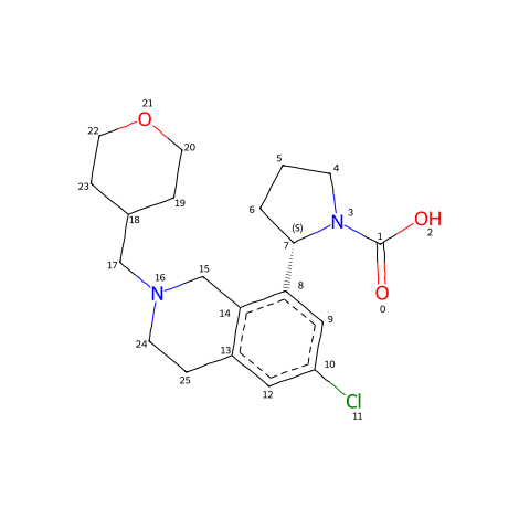 O=C(O)N1CCC[C@H]1c1cc(Cl)cc2c1CN(CC1CCOCC1)CC2